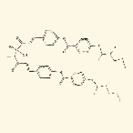 CC(C(=O)C=Cc1ccc(OC(=O)c2ccc(OC(F)C(F)CCF)cc2)cc1)C(O)(O)C(=O)C=Cc1ccc(OC(=O)c2ccc(OC(F)C(F)CCF)cc2)cc1